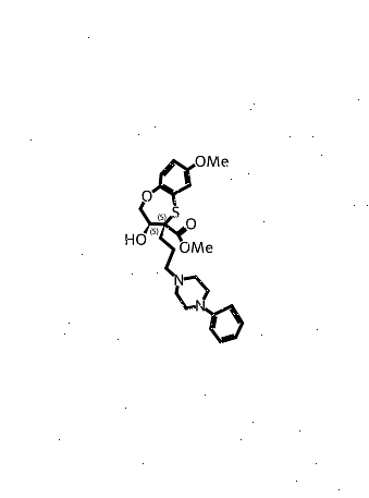 COC(=O)[C@@]1(CCCN2CCN(c3ccccc3)CC2)Sc2cc(OC)ccc2OC[C@@H]1O